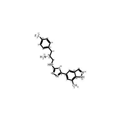 Cc1cc(-c2nnc(NC[C@H](N)Cc3ccc(C(F)(F)F)cc3)s2)cc2cn[nH]c12